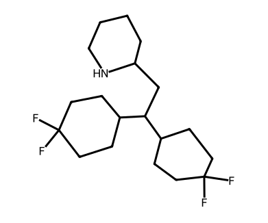 FC1(F)CCC(C(CC2CCCCN2)C2CCC(F)(F)CC2)CC1